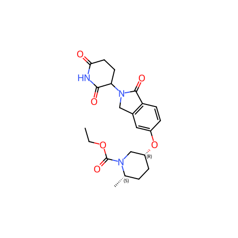 CCOC(=O)N1C[C@H](Oc2ccc3c(c2)CN(C2CCC(=O)NC2=O)C3=O)CC[C@@H]1C